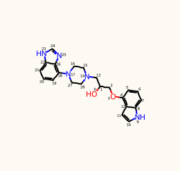 OC(COc1cccc2[nH]ccc12)CN1CCN(c2cccc3[nH]cnc23)CC1